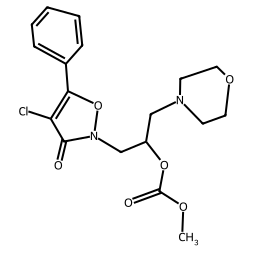 COC(=O)OC(CN1CCOCC1)Cn1oc(-c2ccccc2)c(Cl)c1=O